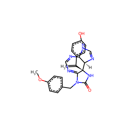 C=C(c1ccc(O)cc1)[C@@]12NC(=O)N(Cc3ccc(OC)cc3)C1=NC=NC1NC=N[C@H]12